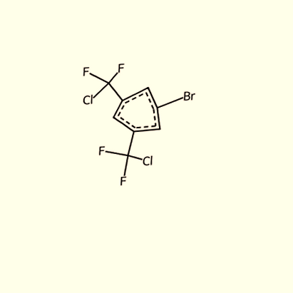 FC(F)(Cl)c1cc(Br)cc(C(F)(F)Cl)c1